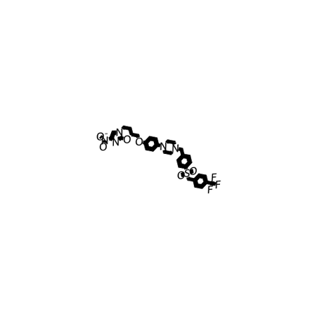 O=[N+]([O-])c1cn2c(n1)OC(COc1ccc(N3CCN(Cc4ccc(S(=O)(=O)Cc5ccc(C(F)(F)F)cc5)cc4)CC3)cc1)CC2